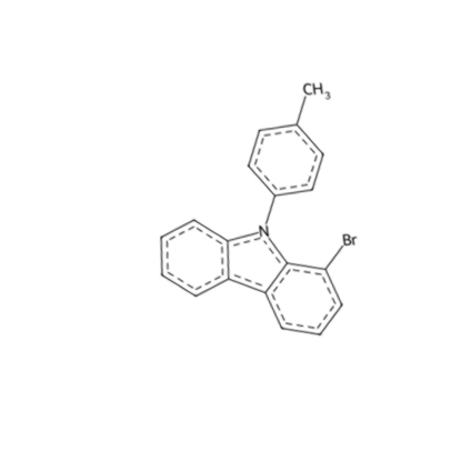 Cc1ccc(-n2c3ccccc3c3cccc(Br)c32)cc1